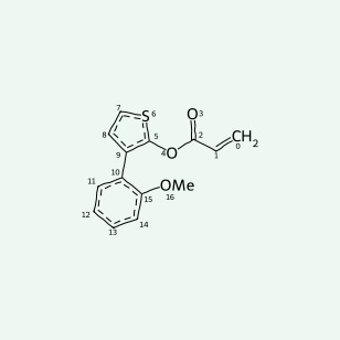 C=CC(=O)Oc1sccc1-c1ccccc1OC